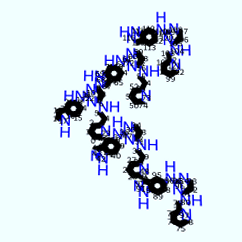 c1ccc(CCNc2ccnc(Nc3ccc4[nH]ccc4c3)n2)nc1.c1ccc(CCNc2ccnc(Nc3ccc4[nH]ncc4c3)n2)nc1.c1ccc(CCNc2ccnc(Nc3ccc4cn[nH]c4c3)n2)nc1.c1ccc(CNc2ccnc(Nc3ccc4[nH]ncc4c3)n2)nc1.c1ccc(CNc2ccnc(Nc3ccc4cn[nH]c4c3)n2)nc1